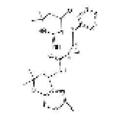 CC1(C)CC(=O)N([C@@H](c2cccnc2)[C@@H]2C[C@H]2C(=O)NC2CC(C)(C)Oc3ccc(C(F)(F)F)cc32)C(=N)N1